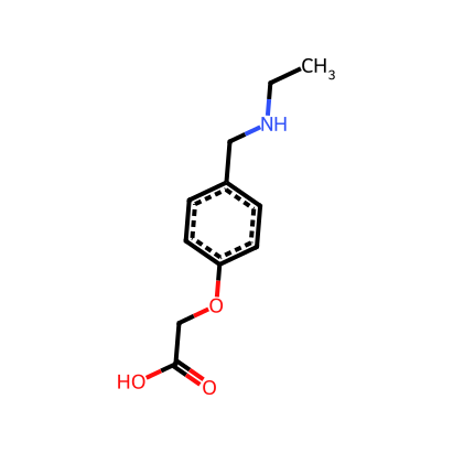 CCNCc1ccc(OCC(=O)O)cc1